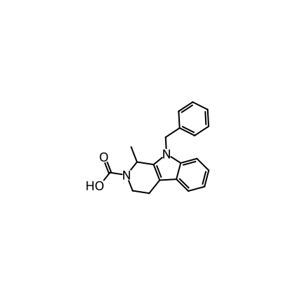 CC1c2c(c3ccccc3n2Cc2ccccc2)CCN1C(=O)O